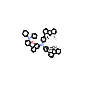 CC1(C)c2ccccc2-c2cccc(-c3ccc(N(c4ccc(-c5cccc6c5C(C)(C)c5ccccc5-6)cc4)c4cc5c6c(cccc6c4)-c4cccc(N(c6ccccc6)c6ccccc6)c4O5)cc3)c21